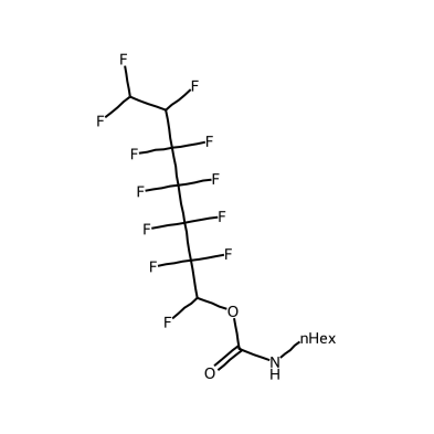 CCCCCCNC(=O)OC(F)C(F)(F)C(F)(F)C(F)(F)C(F)(F)C(F)C(F)F